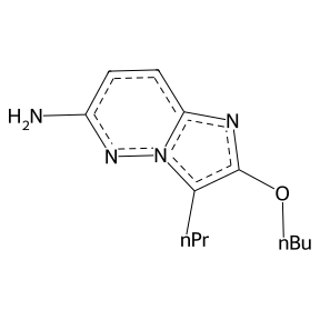 CCCCOc1nc2ccc(N)nn2c1CCC